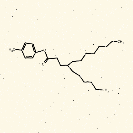 CCCCCCCCC(CCCCCC)CCC(=O)Oc1ccc(C)cc1